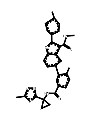 CNC(=O)c1c(-c2ccc(C)cc2)oc2ccc(-c3cc(C(=O)NC4(c5noc(C)n5)CC4)ccc3C)cc12